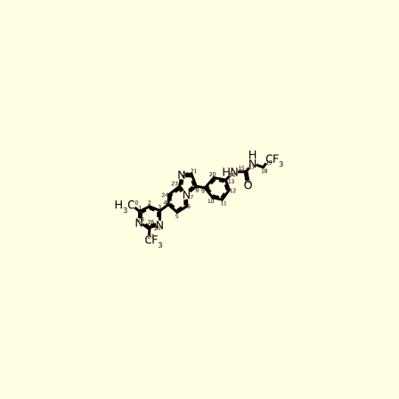 Cc1cc(-c2ccn3c(-c4cccc(NC(=O)NCC(F)(F)F)c4)cnc3c2)nc(C(F)(F)F)n1